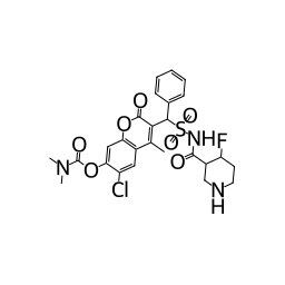 Cc1c(C(c2ccccc2)S(=O)(=O)NC(=O)C2CNCCC2F)c(=O)oc2cc(OC(=O)N(C)C)c(Cl)cc12